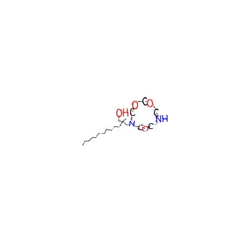 CCCCCCCCCCCC(C)(CO)CN1CCOCCNCCOCCOCC1